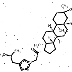 CN(C)Cc1cnn(CC(=O)[C@H]2CC[C@H]3[C@@H]4CC[C@H]5C[C@](C)(O)CC[C@]5(C)[C@H]4CC[C@]23C)c1